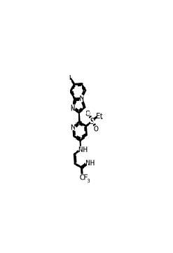 CCS(=O)(=O)c1cc(N/C=C\C(=N)C(F)(F)F)cnc1-c1cn2ccc(I)cc2n1